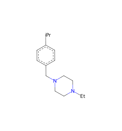 CCN1CCN(Cc2ccc(C(C)C)cc2)CC1